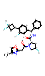 O=C(N[C@@H](c1ccccc1)c1ccc(C2CC(F)(F)C2)c(F)c1)[C@@H]1C[C@@H](F)CN1C(=O)Cc1nc(C(F)(F)F)co1